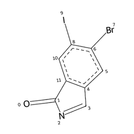 O=C1N=Cc2cc(Br)c(I)cc21